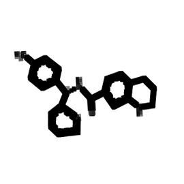 O=C(N[C@@H](c1ccc(C(F)(F)F)cc1)c1ccccn1)c1ccc2c(c1)NCCC2